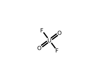 [O]=[U](=[O])([F])[F]